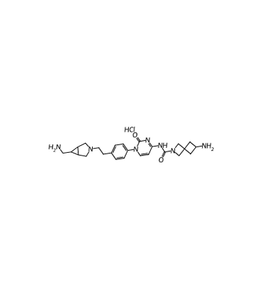 Cl.NCC1C2CN(CCc3ccc(-n4ccc(NC(=O)N5CC6(CC(N)C6)C5)nc4=O)cc3)CC12